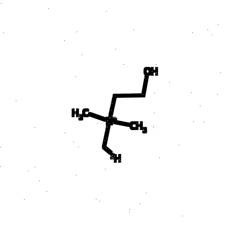 [2H]C[N+](C)(C)CCO